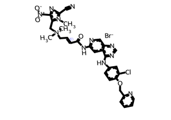 Cn1c(C#N)nc([N+](=O)[O-])c1C[N+](C)(C)C/C=C/C(=O)Nc1cc2c(Nc3ccc(OCc4ccccn4)c(Cl)c3)ncnc2cn1.[Br-]